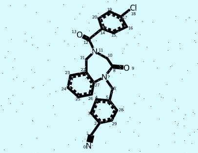 N#Cc1ccc(CN2C(=O)CN(C(=O)c3ccc(Cl)cc3)Cc3ccccc32)cc1